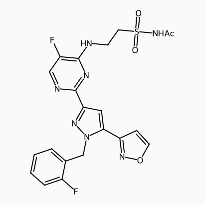 CC(=O)NS(=O)(=O)CCNc1nc(-c2cc(-c3ccon3)n(Cc3ccccc3F)n2)ncc1F